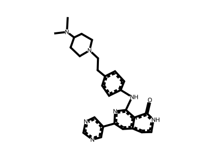 CN(C)C1CCN(CCc2ccc(Nc3nc(-c4cncnc4)cc4cc[nH]c(=O)c34)cc2)CC1